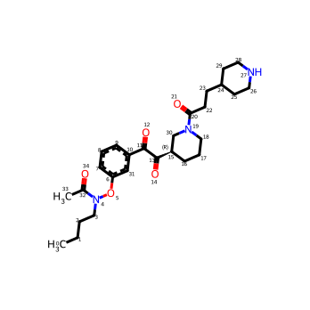 CCCCN(Oc1cccc(C(=O)C(=O)[C@@H]2CCCN(C(=O)CCC3CCNCC3)C2)c1)C(C)=O